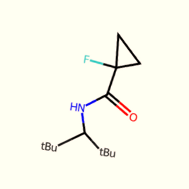 CC(C)(C)C(NC(=O)C1(F)CC1)C(C)(C)C